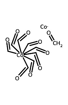 C=O.O=[CH][Co]([CH]=O)([CH]=O)([CH]=O)([CH]=O)([CH]=O)([CH]=O)[CH]=O.[Co]